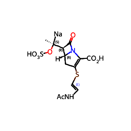 CC(=O)N/C=C/SC1=C(C(=O)O)N2C(=O)[C@H]([C@](C)([Na])OS(=O)(=O)O)[C@H]2C1